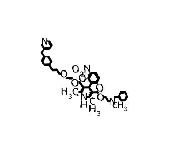 CC1=C(C(=O)OCCOC/C=C/c2ccc(Cc3cccnc3)cc2)C(c2cccc([N+](=O)[O-])c2)C(C(=O)OCCN(C)Cc2ccccc2)=C(C)N1